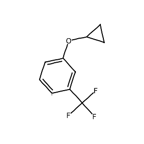 FC(F)(F)c1[c]ccc(OC2CC2)c1